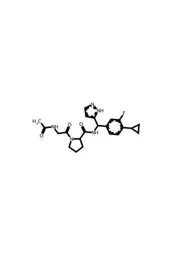 CC(=O)NCC(=O)N1CCCC1C(=O)NC(c1ccc(C2CC2)c(F)c1)c1ccn[nH]1